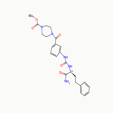 CC(C)(C)OC(=O)N1CCN(C(=O)c2cccc(NC(=O)N[C@@H](CCc3ccccc3)C(N)=O)c2)CC1